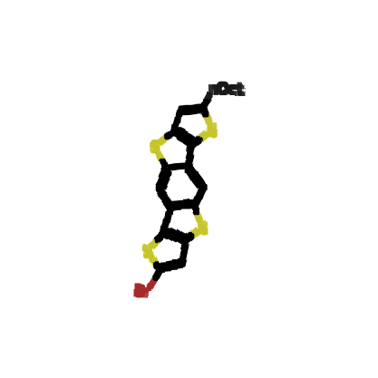 CCCCCCCCc1cc2sc3cc4c(cc3c2s1)sc1cc(Br)sc14